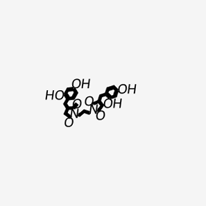 O=C1CC(Cc2ccc(O)cc2O)C(=O)N1CCCN1C(=O)CC(Cc2ccc(O)cc2O)C1=O